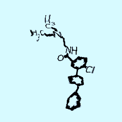 CCN(CC)CCNC(=O)c1ccc(Cl)c(-c2ccc(-c3ccccc3)cc2)c1